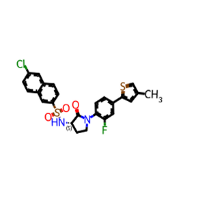 Cc1csc(-c2ccc(N3CC[C@H](NS(=O)(=O)c4ccc5cc(Cl)ccc5c4)C3=O)c(F)c2)c1